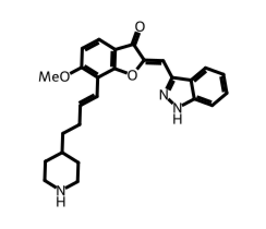 COc1ccc2c(c1C=CCCC1CCNCC1)OC(=Cc1n[nH]c3ccccc13)C2=O